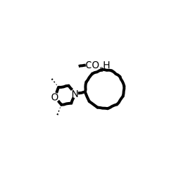 CC(=O)O.C[C@@H]1CN(C2CCCCCCCCCCC2)C[C@H](C)O1